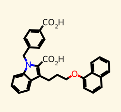 O=C(O)c1ccc(Cn2c(C(=O)O)c(CCCOc3cccc4ccccc34)c3ccccc32)cc1